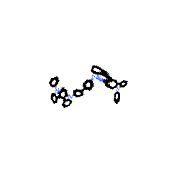 C1=Cc2c(n(-c3ccc(-c4ccc(-n5c6c(c7ccccc75)C=c5c(n(-c7ccccc7)c7ccccc57)=CC6)cc4)cc3)c3ccc4c(c5ccccc5n4-c4ccccc4)c23)CC1